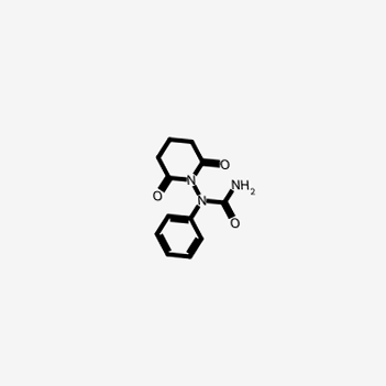 NC(=O)N(c1ccccc1)N1C(=O)CCCC1=O